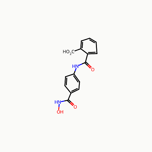 O=C(NO)c1ccc(NC(=O)c2ccccc2C(=O)O)cc1